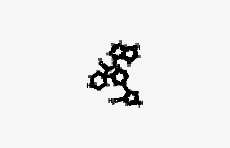 Cc1n[nH]cc1-c1cccc(C2(C(=O)Nc3ncnc4[nH]cnc34)CCNCC2)c1